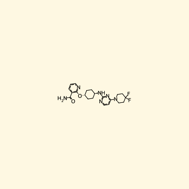 NC(=O)c1cccnc1O[C@H]1CC[C@H](Nc2nccc(N3CCC(F)(F)CC3)n2)CC1